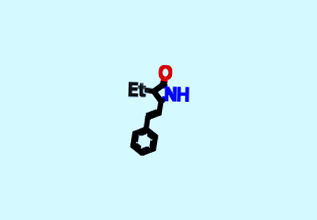 CCC1C(=O)NC1C=Cc1ccccc1